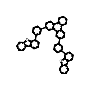 c1cc(-c2ccc3c4ccccc4c4ccc(-c5cccc(-c6cccc7c6oc6ccccc67)c5)cc4c3c2)cc(-c2cccc3c2oc2ccccc23)c1